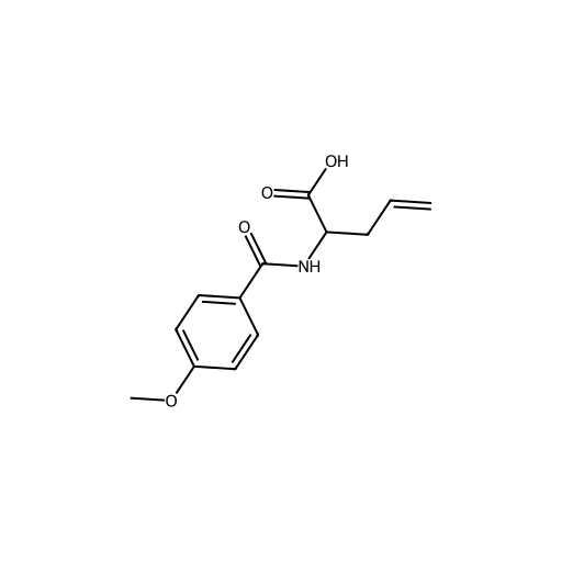 C=CCC(NC(=O)c1ccc(OC)cc1)C(=O)O